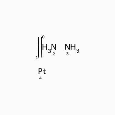 C=C.N.N.[Pt]